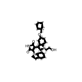 O=C1NC(=O)C(n2ccc3ccccc32)=C1c1cn(CCO)c2ccc(OCc3ccccc3)cc12